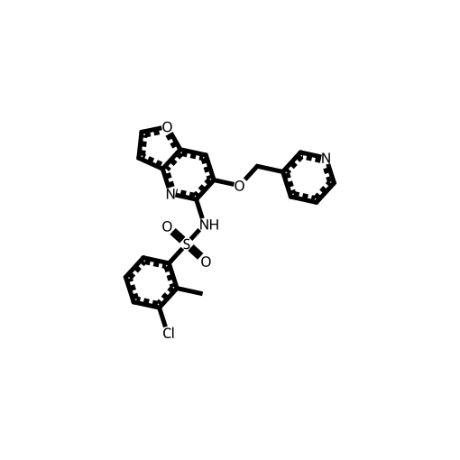 Cc1c(Cl)cccc1S(=O)(=O)Nc1nc2ccoc2cc1OCc1cccnc1